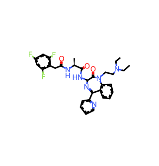 CCN(CC)CCN1C(=O)C(NC(=O)[C@H](C)NC(=O)Cc2c(F)cc(F)cc2F)N=C(c2ccccn2)c2ccccc21